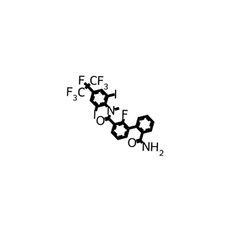 CN(C(=O)c1cccc(-c2ccccc2C(N)=O)c1F)c1c(I)cc(C(F)(C(F)(F)F)C(F)(F)F)cc1I